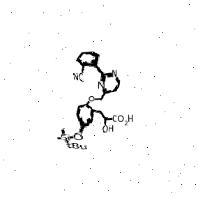 CC(C)(C)[Si](C)(C)Oc1ccc(OCc2ccnc(-c3ccccc3C#N)n2)c(CC(O)C(=O)O)c1